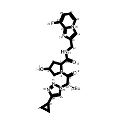 CC(C)(C)[C@@H](C(=O)N1CC(O)CC1C(=O)NCc1cn2cccc(F)c2n1)n1cc(C2CC2)nn1